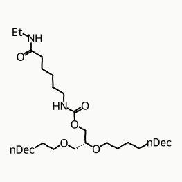 CCCCCCCCCCCCCCO[C@H](COCCCCCCCCCCCC)COC(=O)NCCCCCC(=O)NCC